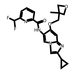 CC1(COc2cc3nc(C4CC4)cn3cc2NC(=O)c2cccc(C(F)F)n2)COC1